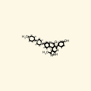 Cc1n[nH]c2nc(-c3ccc(O)cc3)c3c(=O)[nH]c4cc(N5CCN(C6CCN(C)CC6)CC5)ccc4c3c12